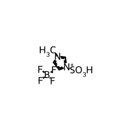 Cn1cc[n+](S(=O)(=O)O)c1.F[B-](F)(F)F